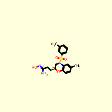 Cc1cccc(S(=O)(=O)N2C[C@H](CC/C(N)=N/O)Oc3ccc(C)cc32)c1